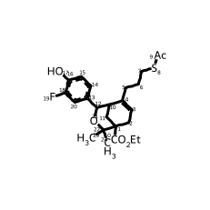 CCOC(=O)C12CC=C(CCCSC(C)=O)C(C1)C(c1ccc(O)c(F)c1)OC2(C)C